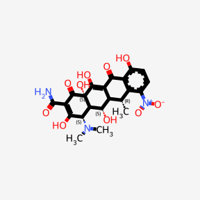 C[C@H]1c2c([N+](=O)[O-])ccc(O)c2C(=O)C2=C(O)[C@]3(O)C(=O)C(C(N)=O)=C(O)[C@@H](N(C)C)C3[C@@H](O)C21